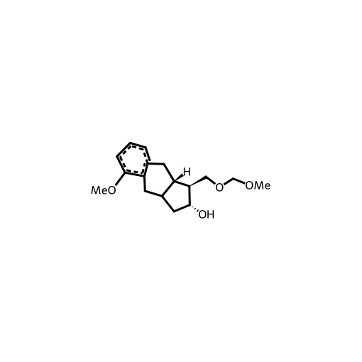 COCOC[C@H]1[C@H](O)CC2Cc3c(cccc3OC)C[C@@H]21